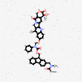 CCCCCCC(=O)N(C)Cc1ccc2c(c1)C(COC(=O)N(COc1ccc3nc4c(c(CC)c3c1)Cn1c-4cc3c(c1=O)COC(=O)[C@]3(O)CC)c1ccccc1)c1ccccc1-2